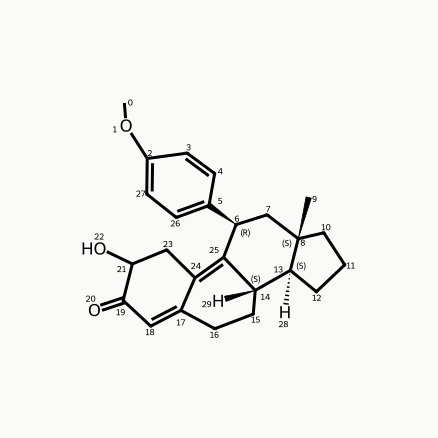 COc1ccc([C@H]2C[C@]3(C)CCC[C@H]3[C@@H]3CCC4=CC(=O)C(O)CC4=C32)cc1